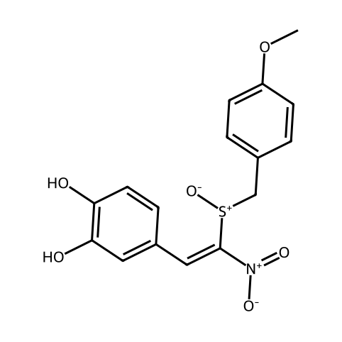 COc1ccc(C[S+]([O-])/C(=C\c2ccc(O)c(O)c2)[N+](=O)[O-])cc1